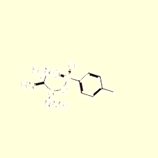 CNN(OS(=O)(=O)c1ccc(C)cc1)C(=N)N